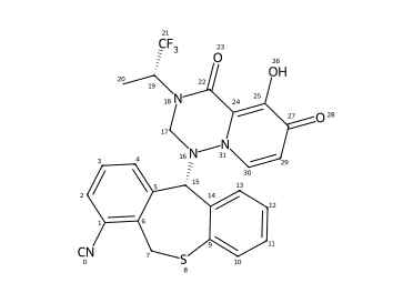 [C-]#[N+]c1cccc2c1CSc1ccccc1[C@H]2N1CN([C@H](C)C(F)(F)F)C(=O)c2c(O)c(=O)ccn21